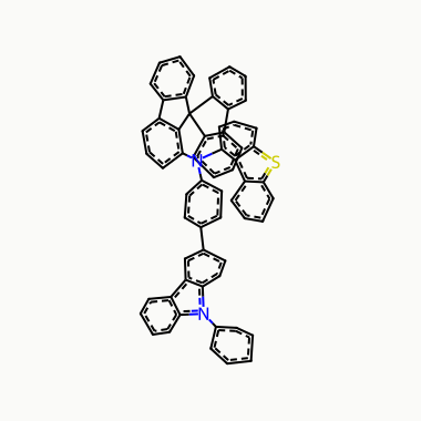 c1ccc(-n2c3ccccc3c3cc(-c4ccc(N(c5cccc6c5C5(c7ccccc7-c7ccccc75)c5ccccc5-6)c5cccc6sc7ccccc7c56)cc4)ccc32)cc1